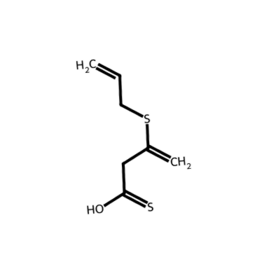 C=CCSC(=C)CC(O)=S